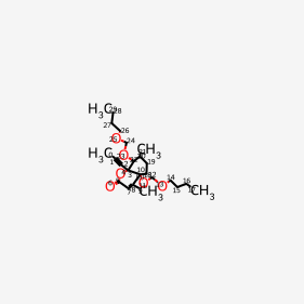 CC#CC12OC(=O)C=C(C)[C@@]1(OCOCCCC)CCC(C)C2OCOCCCC